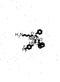 NCCCCC(N)C(=O)N[C@@H](Cc1ccccc1)CN(CC(=O)NCc1ccc(C(F)(F)F)cc1)C(=O)CC12CC3CC(CC(C3)C1)C2